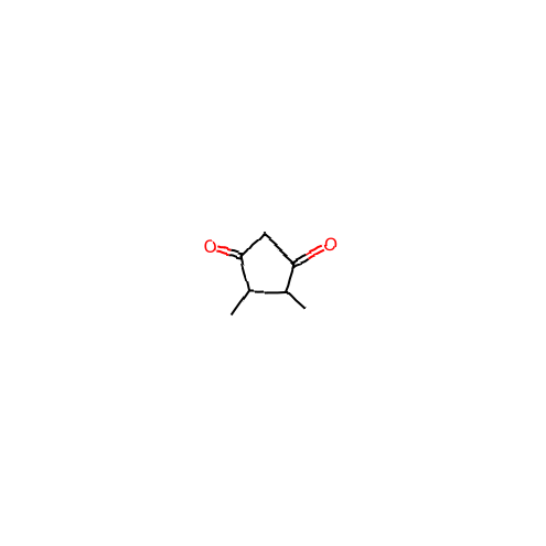 CC1C(=O)CC(=O)C1C